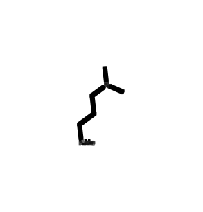 [CH]NCCCN(C)C